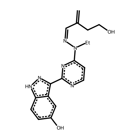 C=C(/C=N\N(CC)c1ccnc(-c2n[nH]c3ccc(O)cc23)n1)CCO